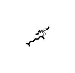 CCO[SiH](OCC)OC(C)CCCCCC(C)C